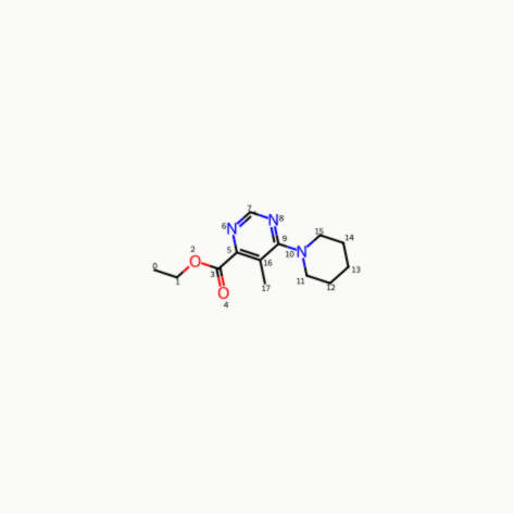 CCOC(=O)c1n[c]nc(N2CCCCC2)c1C